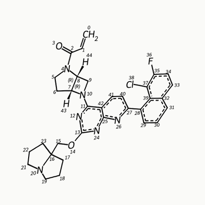 C=CC(=O)N1CC[C@@H]2[C@H]1CN2c1nc(OCC23CCCN2CCC3)nc2nc(-c3cccc4ccc(F)c(Cl)c34)ccc12